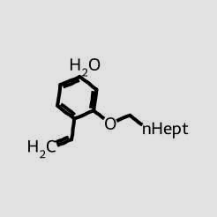 C=Cc1ccccc1OCCCCCCCC.O